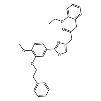 CCOc1ccccc1CC(=O)Cc1coc(-c2ccc(OC)c(OCCc3ccccc3)c2)n1